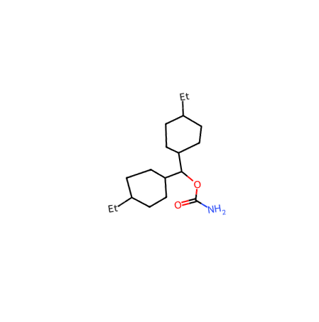 CCC1CCC(C(OC(N)=O)C2CCC(CC)CC2)CC1